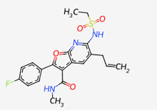 C=CCc1cc2c(C(=O)NC)c(-c3ccc(F)cc3)oc2nc1NS(=O)(=O)CC